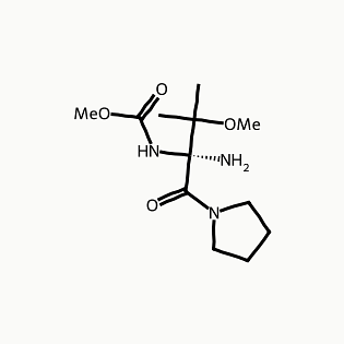 COC(=O)N[C@](N)(C(=O)N1CCCC1)C(C)(C)OC